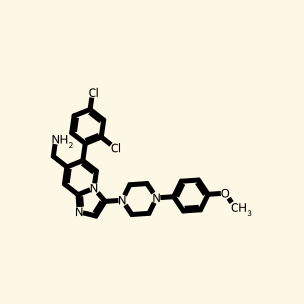 COc1ccc(N2CCN(c3cnc4cc(CN)c(-c5ccc(Cl)cc5Cl)cn34)CC2)cc1